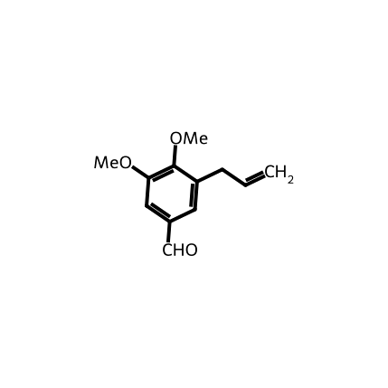 C=CCc1cc(C=O)cc(OC)c1OC